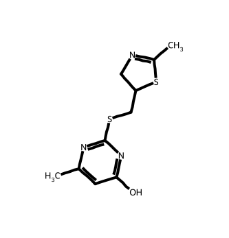 CC1=NCC(CSc2nc(C)cc(O)n2)S1